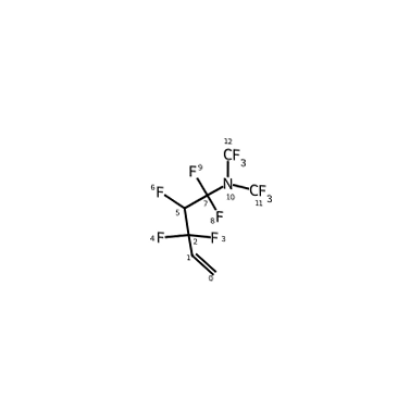 C=CC(F)(F)C(F)C(F)(F)N(C(F)(F)F)C(F)(F)F